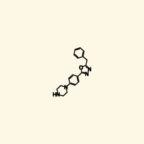 c1ccc(Cc2nnc(-c3ccc(N4CCNCC4)cc3)o2)cc1